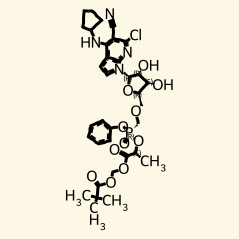 C[C@H](O[P@](=O)(COC[C@H]1O[C@@H](n2ccc3c(NC4CCCC4)c(C#N)c(Cl)nc32)[C@H](O)[C@@H]1O)Oc1ccccc1)C(=O)OCOC(=O)C(C)(C)C